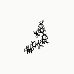 [2H]C([2H])(Oc1ccnc([C@@H](Oc2nn(C)c3nnc(-c4cnc(OC(C)(C)C)nc4OC(C)(C)C)cc23)C(F)F)c1)C(F)(F)F